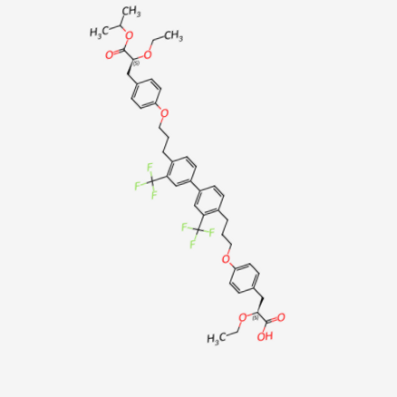 CCO[C@@H](Cc1ccc(OCCCc2ccc(-c3ccc(CCCOc4ccc(C[C@H](OCC)C(=O)OC(C)C)cc4)c(C(F)(F)F)c3)cc2C(F)(F)F)cc1)C(=O)O